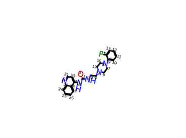 O=C(NCCN1CCN(c2ccccc2F)CC1)Nc1ccnc2ccccc12